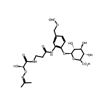 CC(C)=NO[C@@H](O)C(=O)NCCC(=O)Nc1cc(COC=O)ccc1O[C@@H]1O[C@H](C(=O)O)[C@@H](O)[C@H](O)[C@H]1O